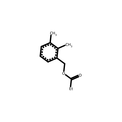 CCC(=O)OCc1cccc(C)c1C